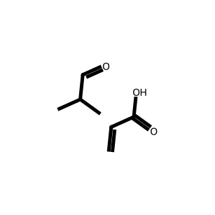 C=CC(=O)O.CC(C)C=O